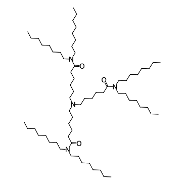 CCCCCCCCN(CCCCCCCC)C(=O)CCCCCN(CCCCCC(=O)N(CCCCCCCC)CCCCCCCC)CCCCCC(=O)N(CCCCCCCC)CCCCCCCC